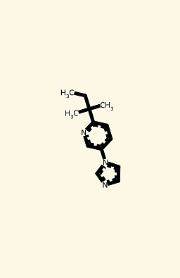 CCC(C)(C)c1ccc(-n2ccnc2)cn1